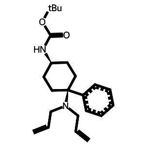 C=CCN(CC=C)[C@]1(c2ccccc2)CC[C@H](NC(=O)OC(C)(C)C)CC1